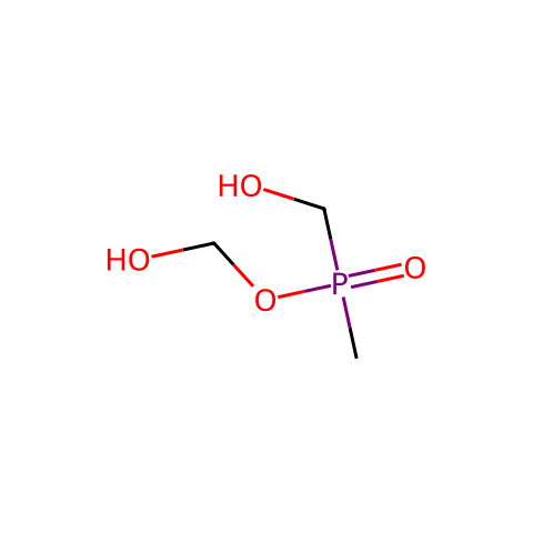 CP(=O)(CO)OCO